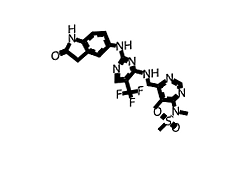 Cc1c(CNc2nc(Nc3ccc4c(c3)CC(=O)N4)ncc2C(F)(F)F)ncnc1N(C)S(C)(=O)=O